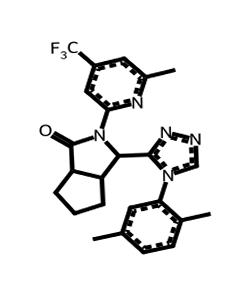 Cc1ccc(C)c(-n2cnnc2C2C3CCCC3C(=O)N2c2cc(C(F)(F)F)cc(C)n2)c1